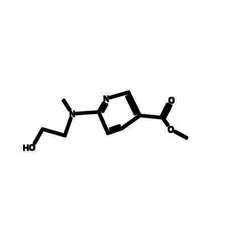 COC(=O)c1ccc(N(C)CCO)nc1